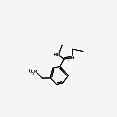 CC/N=C(\NC)c1cccc(CN)c1